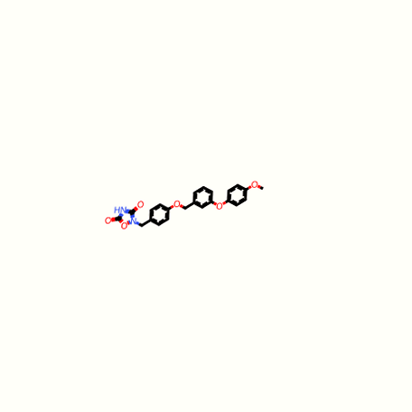 COc1ccc(Oc2cccc(COc3ccc(Cn4oc(=O)[nH]c4=O)cc3)c2)cc1